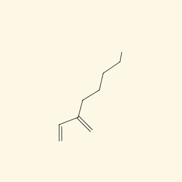 C=CC(=C)CCCCC